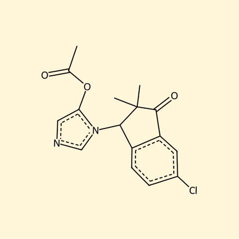 CC(=O)Oc1cncn1C1c2ccc(Cl)cc2C(=O)C1(C)C